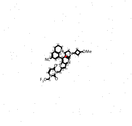 COC1CC(N2CC[C@H](N3CCCc4cc(C#N)cc(-c5ccnc6cc(Cn7c(=O)ccn(CC(F)(F)F)c7=O)sc56)c43)C2)C1